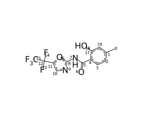 Cc1ccc(C(=O)Nc2ncc(C(F)(F)C(F)(F)F)o2)c(O)c1